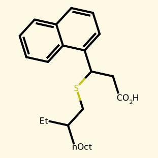 CCCCCCCCC(CC)CSC(CC(=O)O)c1cccc2ccccc12